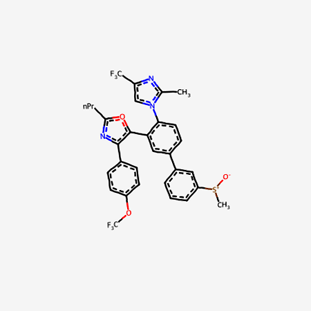 CCCc1nc(-c2ccc(OC(F)(F)F)cc2)c(-c2cc(-c3cccc([S+](C)[O-])c3)ccc2-n2cc(C(F)(F)F)nc2C)o1